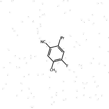 Cc1cc(C#N)c(C(C)C)cc1F